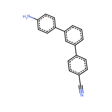 N#Cc1ccc(-c2cccc(-c3ccc(N)cc3)c2)cc1